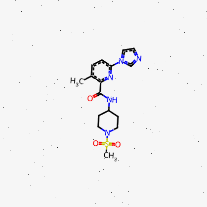 Cc1ccc(-n2ccnc2)nc1C(=O)NC1CCN(S(C)(=O)=O)CC1